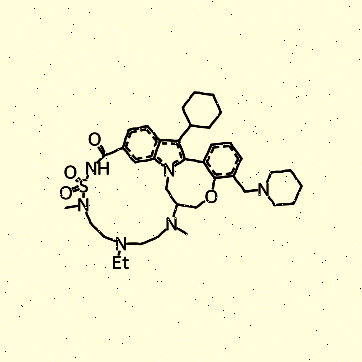 CCN1CCN(C)C2COc3c(CN4CCCCC4)cccc3-c3c(C4CCCCC4)c4ccc(cc4n3C2)C(=O)NS(=O)(=O)N(C)CC1